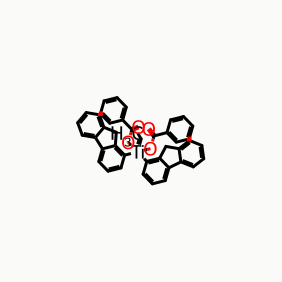 C[CH]=[Ti]([O]C(=O)c1ccccc1)([O]C(=O)c1ccccc1)([c]1cccc2c1Cc1ccccc1-2)[c]1cccc2c1Cc1ccccc1-2